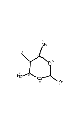 CC(C)C1OC(O)C(C)C(C(C)C)O1